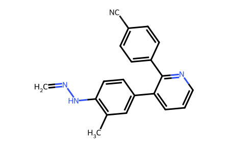 C=NNc1ccc(-c2cccnc2-c2ccc(C#N)cc2)cc1C